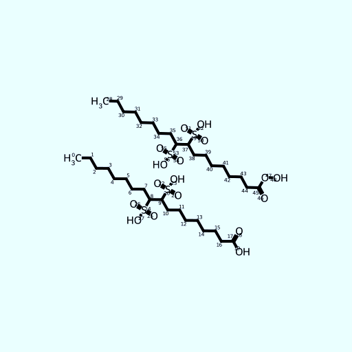 CCCCCCCCC(C(CCCCCCCC(=O)O)S(=O)(=O)O)S(=O)(=O)O.CCCCCCCCC(C(CCCCCCCC(=O)OO)S(=O)(=O)O)S(=O)(=O)O